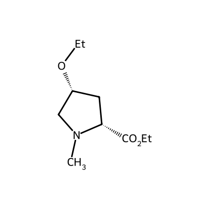 CCOC(=O)[C@H]1C[C@@H](OCC)CN1C